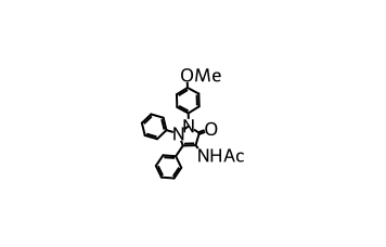 COc1ccc(-n2c(=O)c(NC(C)=O)c(-c3ccccc3)n2-c2ccccc2)cc1